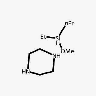 C1CNCCN1.CCC[SiH](CC)OC